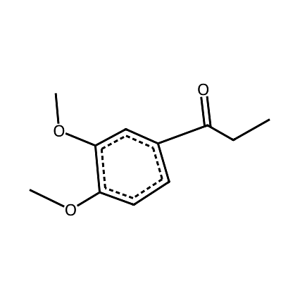 CCC(=O)c1ccc(OC)c(OC)c1